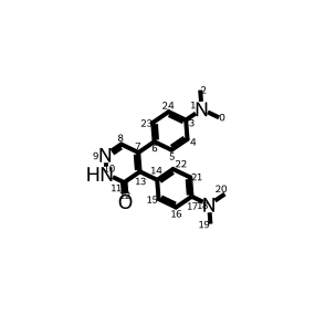 CN(C)c1ccc(-c2cn[nH]c(=O)c2-c2ccc(N(C)C)cc2)cc1